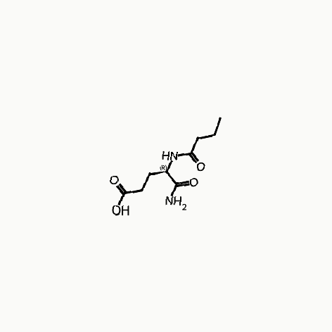 CCCC(=O)N[C@H](CCC(=O)O)C(N)=O